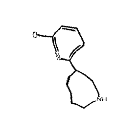 Clc1cccc(C2CCCNC2)n1